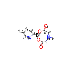 Cc1ccc(B2OC(=O)CN(C)CC(=O)O2)nc1